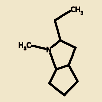 CCC1CC2CCCC2N1C